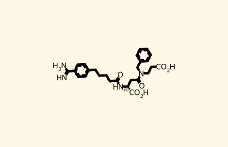 N=C(N)c1ccc(CCCCC(=O)N[C@@H](CC(=O)N(CCC(=O)O)Cc2ccccc2)C(=O)O)cc1